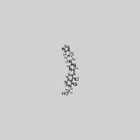 CC(C)(O)Cn1cnc2ccc(Sc3cnc(N4CCC5(CC4)Cc4ncsc4C5)cn3)c(Cl)c2c1=O